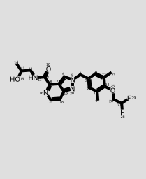 Cc1cc(Cn2cc3c(C(=O)NCC(C)O)nccc3n2)cc(C)c1OCC(F)F